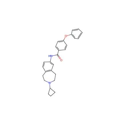 O=C(Nc1ccc2c(c1)CCN(C1CCC1)CC2)c1ccc(Oc2ccccc2)cc1